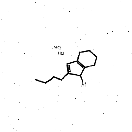 CCCCC1=CC2=C(CCCC2)[CH]1[Hf].Cl.Cl